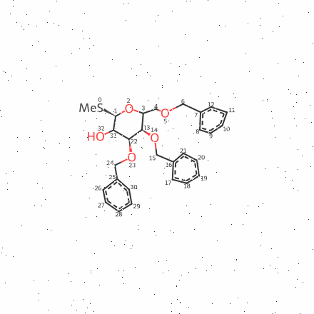 CS[C@H]1OC(COCc2ccccc2)[C@@H](OCc2ccccc2)[C@@H](OCc2ccccc2)C1O